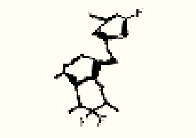 Cc1cc(F)cc(Cc2ccc(C)c3c2CC(C)C(F)(F)C3C)c1